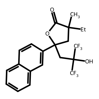 CCC1(C)CC(CC(O)(C(F)(F)F)C(F)(F)F)(c2ccc3ccccc3c2)OC1=O